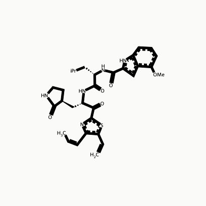 C=Cc1sc(C(=O)[C@H](C[C@@H]2CCNC2=O)NC(=O)[C@H](CC(C)C)NC(=O)c2cc3c(OC)cccc3[nH]2)nc1/C=C\C